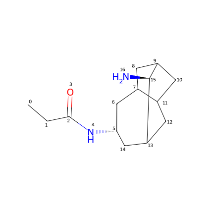 CCC(=O)N[C@@H]1CC2CC3CC2CC(C1)[C@H]3N